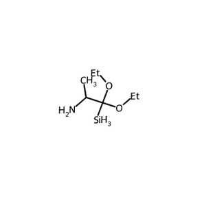 CCOC([SiH3])(OCC)C(C)N